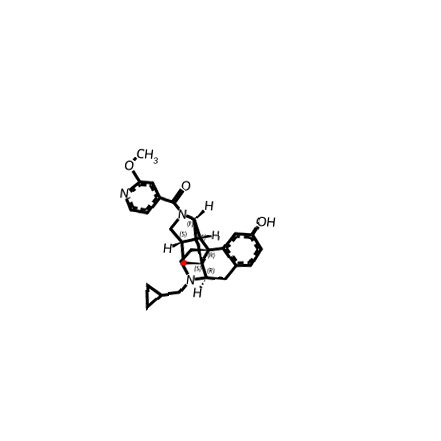 COc1cc(C(=O)N2C[C@H]3C[C@@]45CC[C@@H]2[C@@H]3[C@@]42CCN(CC3CC3)[C@@H]5Cc3ccc(O)cc32)ccn1